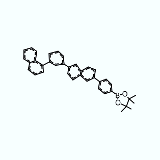 CC1(C)OB(c2ccc(-c3ccc4cc(-c5cccc(-c6cccc7ccccc67)c5)ccc4c3)cc2)OC1(C)C